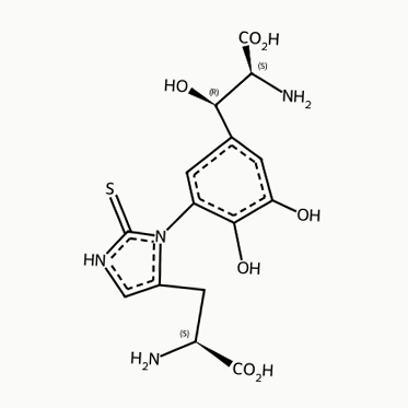 N[C@H](C(=O)O)[C@H](O)c1cc(O)c(O)c(-n2c(C[C@H](N)C(=O)O)c[nH]c2=S)c1